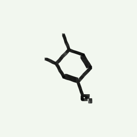 CC1C=CC(C(F)(F)F)=CC1C